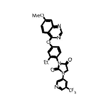 CCc1cc(Oc2ncnc3cc(OC)ccc23)ccc1N1C(=O)CN(c2cncc(C(F)(F)F)c2)C1=O